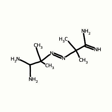 CC(C)(N=NC(C)(C)C(N)N)C(=N)N